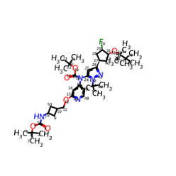 CC(C)(C)OC(=O)NC1CC(COc2cc(N(C(=O)OC(C)(C)C)c3cc([C@H]4C[C@@H](F)[C@@H](O[Si](C)(C)C(C)(C)C)C4)nn3C(C)(C)C)ccn2)C1